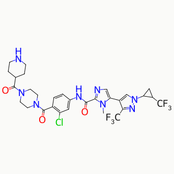 Cn1c(-c2cn(C3CC3C(F)(F)F)nc2C(F)(F)F)cnc1C(=O)Nc1ccc(C(=O)N2CCN(C(=O)C3CCNCC3)CC2)c(Cl)c1